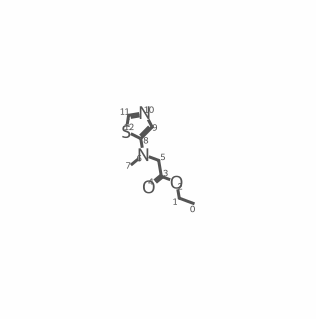 CCOC(=O)CN(C)c1cn[c]s1